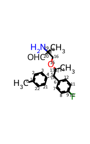 Cc1ccc([C@@H](c2ccc(F)cc2)[C@H](C)OC[C@@](C)(N)C=O)cc1